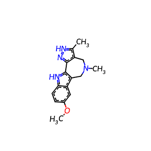 COc1ccc2[nH]c3c(c2c1)CN(C)Cc1c-3n[nH]c1C